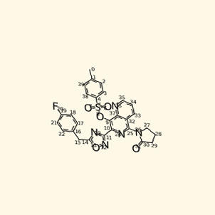 Cc1ccc(S(=O)(=O)Oc2c(-c3noc(Cc4ccc(F)cc4)n3)nc(N3CCCC3=O)c3cccnc23)cc1